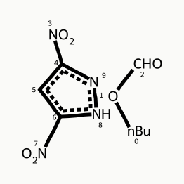 CCCCOC=O.O=[N+]([O-])c1cc([N+](=O)[O-])[nH]n1